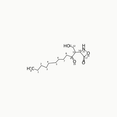 CCCCCCCCCC(=O)C(CO)C1NOC1=O